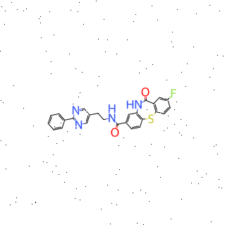 O=C(NCCc1cnc(-c2ccccc2)nc1)c1ccc2c(c1)NC(=O)c1cc(F)ccc1S2